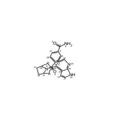 NC(=O)c1ccc(C(=O)N2C3CCC2CN(c2ncnc4[nH]ccc24)C3)cc1